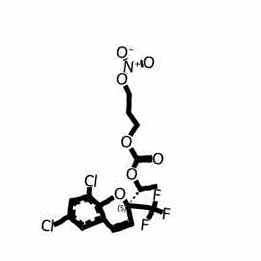 CC(OC(=O)OCCCO[N+](=O)[O-])[C@]1(C(F)(F)F)C=Cc2cc(Cl)cc(Cl)c2O1